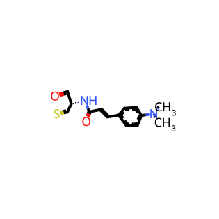 CN(C)c1ccc(/C=C/C(=O)N[C@@H](C=O)C=S)cc1